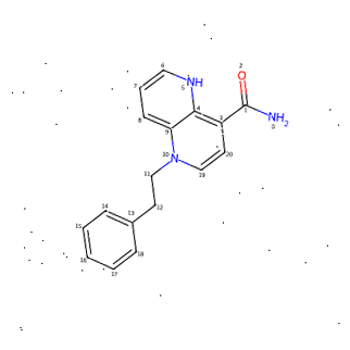 NC(=O)C1=C2NC=CC=C2N(CCc2ccccc2)C=C1